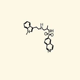 CC(CNCCc1cn(C)c2ccccc12)NS(=O)(=O)c1ccc2cnccc2c1